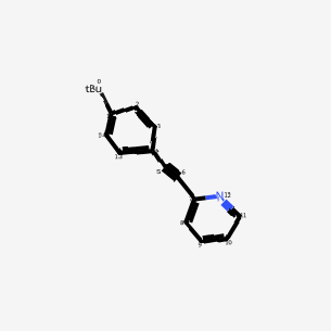 CC(C)(C)c1ccc(C#Cc2ccccn2)cc1